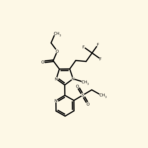 CCOC(=O)c1nc(-c2ncccc2S(=O)(=O)CC)n(C)c1CCC(F)(F)F